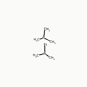 CCN(C)C.[CH3][In]([CH3])[CH3]